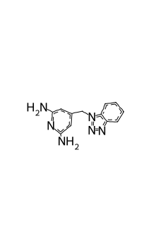 Nc1cc(Cn2nnc3ccccc32)cc(N)n1